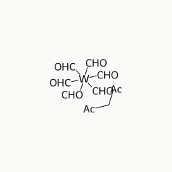 CC(=O)CC(C)=O.O=[CH][W]([CH]=O)([CH]=O)([CH]=O)([CH]=O)[CH]=O